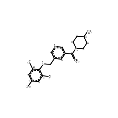 C=C(c1cncc(COc2c(Cl)cc(Cl)cc2Cl)c1)N1CCC(C)CC1